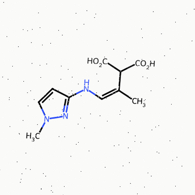 CC(=CNc1ccn(C)n1)C(C(=O)O)C(=O)O